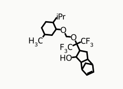 CC1CCC(C(C)C)C(OCOC(C2CC3C4C=CC(C4)C3C2O)(C(F)(F)F)C(F)(F)F)C1